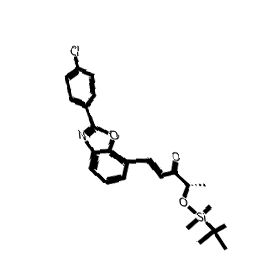 C[C@H](O[Si](C)(C)C(C)(C)C)C(=O)C=Cc1cccc2nc(-c3ccc(Cl)cc3)oc12